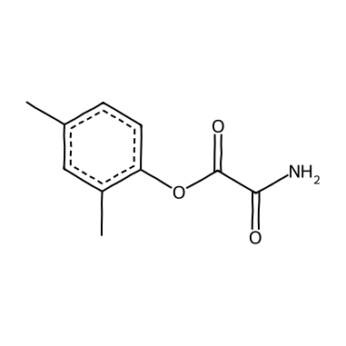 Cc1ccc(OC(=O)C(N)=O)c(C)c1